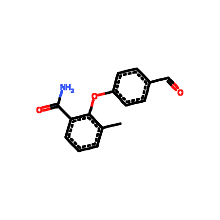 Cc1cccc(C(N)=O)c1Oc1ccc(C=O)cc1